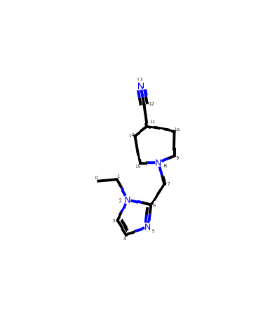 CCn1ccnc1CN1CCC(C#N)CC1